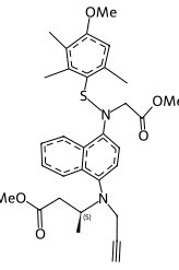 C#CCN(c1ccc(N(CC(=O)OC)Sc2c(C)cc(OC)c(C)c2C)c2ccccc12)[C@@H](C)CC(=O)OC